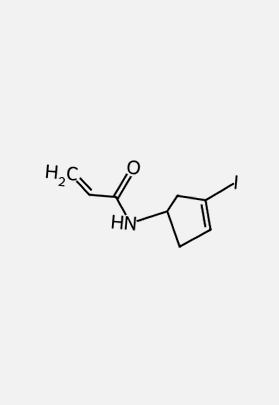 C=CC(=O)NC1CC=C(I)C1